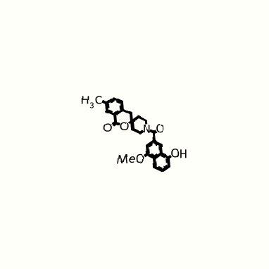 COc1cc(C(=O)N2CCC3(CC2)Cc2ccc(C)cc2C(=O)O3)cc2c(O)cccc12